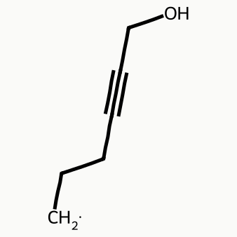 [CH2]CCC#CCO